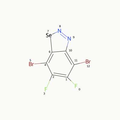 Fc1c(F)c(Br)c2[se]nnc2c1Br